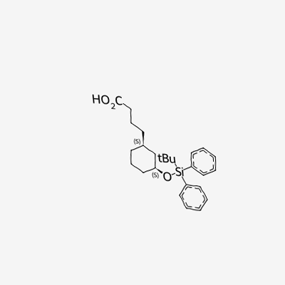 CC(C)(C)[Si](O[C@H]1CCC[C@@H](CCCC(=O)O)C1)(c1ccccc1)c1ccccc1